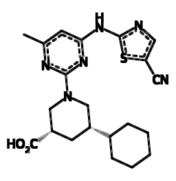 Cc1cc(Nc2ncc(C#N)s2)nc(N2C[C@@H](C(=O)O)C[C@@H](C3CCCCC3)C2)n1